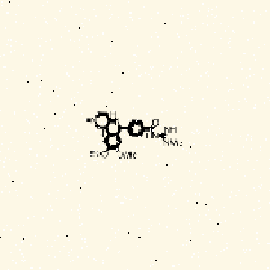 CCOc1cc2c(cc1OC)C(c1ccc(C(=O)NC(=N)NC)cc1)=N[C@@H]1CCN(C)C[C@H]21